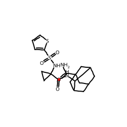 NC(=O)C12CC3CC(C1)C(NC(=O)C1(NS(=O)(=O)c4cccs4)CC1)C(C3)C2